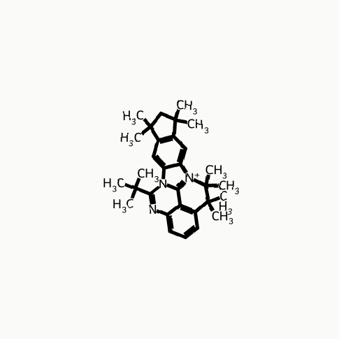 CC(C)(C)c1nc2cccc3c2c2n1c1cc4c(cc1[n+]2C(C)(C)C3(C)C)C(C)(C)CC4(C)C